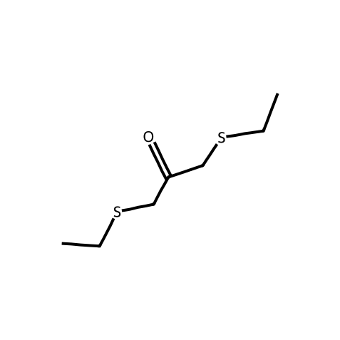 CCSCC(=O)CSCC